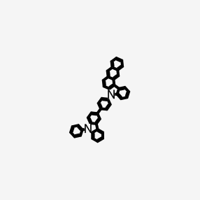 c1ccc(-n2c3ccccc3c3cc(-c4ccc(-n5c6ccccc6c6c7cc8ccccc8cc7ccc65)cc4)ccc32)cc1